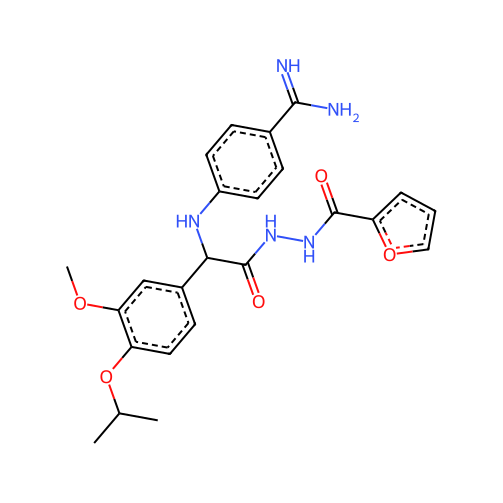 COc1cc(C(Nc2ccc(C(=N)N)cc2)C(=O)NNC(=O)c2ccco2)ccc1OC(C)C